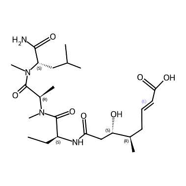 CC[C@H](NC(=O)C[C@H](O)[C@H](C)C/C=C/C(=O)O)C(=O)N(C)[C@H](C)C(=O)N(C)[C@@H](CC(C)C)C(N)=O